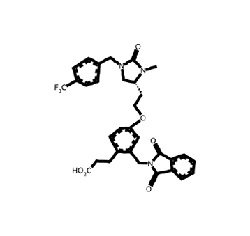 CN1C(=O)N(Cc2ccc(C(F)(F)F)cc2)C[C@H]1CCOc1ccc(CCC(=O)O)c(CN2C(=O)c3ccccc3C2=O)c1